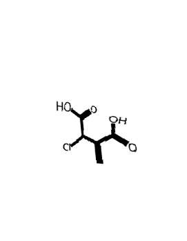 C=C(C(=O)O)C(Cl)C(=O)O